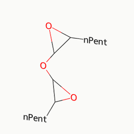 CCCCCC1OC1OC1OC1CCCCC